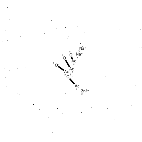 CC(=O)[O-].CC(=O)[O-].CC(=O)[O-].CC(=O)[O-].[Na+].[Na+].[Zn+2]